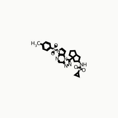 Cc1ccc(S(=O)(=O)n2ccc3c2ncc2nnc(C45CCCC4CC(NS(=O)(=O)C4CC4)C5)n23)cc1